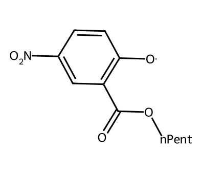 CCCCCOC(=O)c1cc([N+](=O)[O-])ccc1[O]